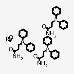 NC(=O)CCP(c1ccccc1)c1ccccc1.NC(=O)CCP(c1ccccc1)c1ccccc1.NC(=O)CCP(c1ccccc1)c1ccccc1.[C]=O.[Rh]